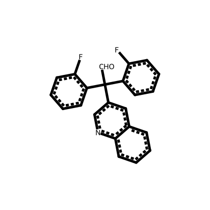 O=CC(c1cnc2ccccc2c1)(c1ccccc1F)c1ccccc1F